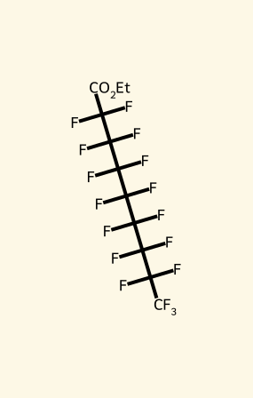 CCOC(=O)C(F)(F)C(F)(F)C(F)(F)C(F)(F)C(F)(F)C(F)(F)C(F)(F)C(F)(F)F